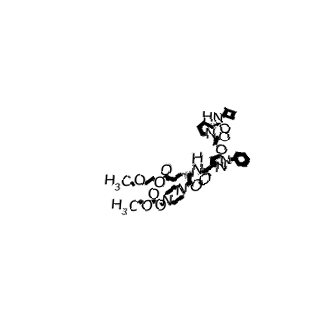 CCOCCOC(=O)CC[C@H](NC(=O)c1cc(OCC(=O)N2CCC[C@H]2C(=O)NC2CCC2)n(-c2ccccc2)n1)C(=O)N1CCN(OC(=O)OCC)CC1